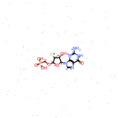 Nc1nc2c(ncn2C2OC(OCP(=O)(O)O)C(F)C2O)c(=O)[nH]1